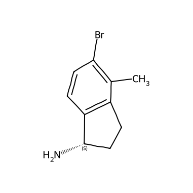 Cc1c(Br)ccc2c1CC[C@@H]2N